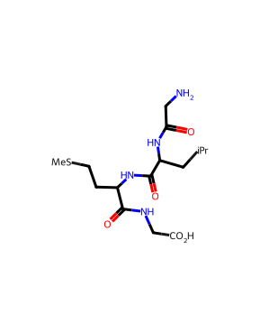 CSCCC(NC(=O)C(CC(C)C)NC(=O)CN)C(=O)NCC(=O)O